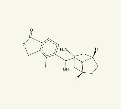 Cc1c([C@@H](O)CN2[C@@H]3CC[C@H]2CC(N)C3)ccc2c1COC2=O